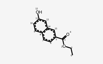 CCOC(=O)c1ccc2ccc(O)cc2c1